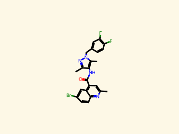 Cc1cc(C(=O)Nc2c(C)nn(Cc3ccc(F)c(F)c3)c2C)c2cc(Br)ccc2n1